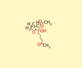 CC(=O)CCCCC(O)(COC(C)=O)C(=O)C(C)(C)C